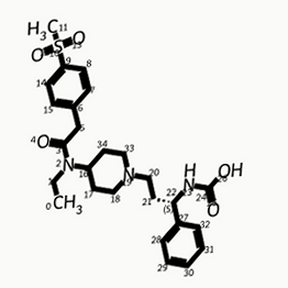 CCN(C(=O)Cc1ccc(S(C)(=O)=O)cc1)C1CCN(CC[C@H](NC(=O)O)c2ccccc2)CC1